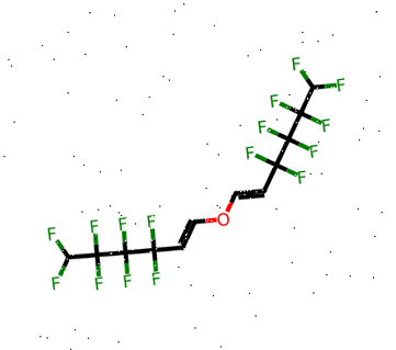 FC(F)C(F)(F)C(F)(F)C(F)(F)C=COC=CC(F)(F)C(F)(F)C(F)(F)C(F)F